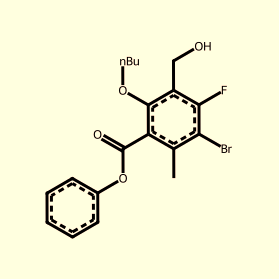 CCCCOc1c(CO)c(F)c(Br)c(C)c1C(=O)Oc1ccccc1